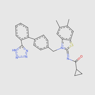 Cc1cc2s/c(=N\C(=O)C3CC3)n(Cc3ccc(-c4ccccc4-c4nnn[nH]4)cc3)c2cc1C